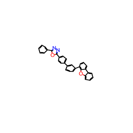 c1ccc(-c2nnc(-c3ccc(-c4cccc(-c5cccc6c5oc5ccccc56)c4)cc3)o2)cc1